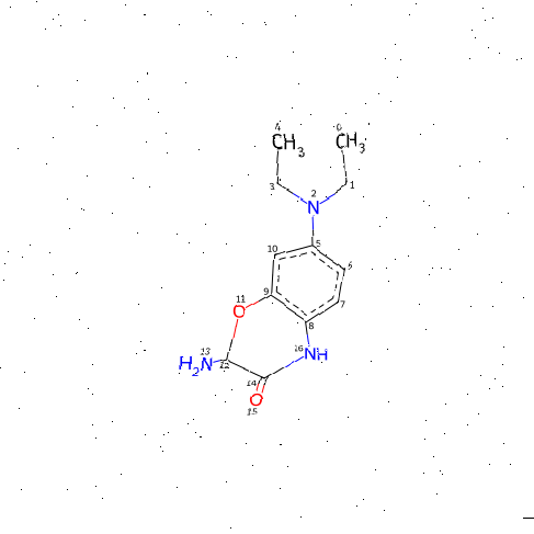 CCN(CC)c1ccc2c(c1)OC(N)C(=O)N2